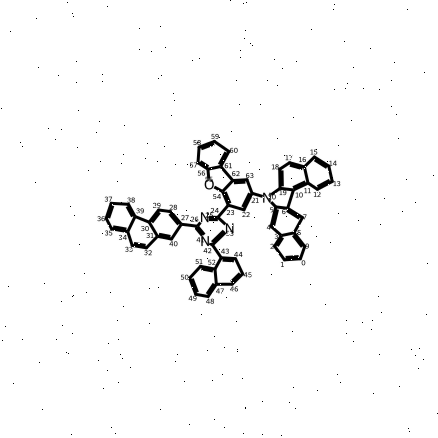 c1ccc2cc3c(cc2c1)c1c2ccccc2ccc1n3-c1cc(-c2nc(-c3ccc4c(ccc5ccccc54)c3)nc(-c3cccc4ccccc34)n2)c2oc3ccccc3c2c1